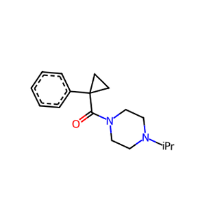 CC(C)N1CCN(C(=O)C2(c3ccccc3)CC2)CC1